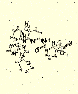 Cc1ccc(NC(=O)c2cccc(C(C)(C)C#N)c2)nc1Nc1ncccc1-c1ncnc2c1ncn2C1CCCCO1